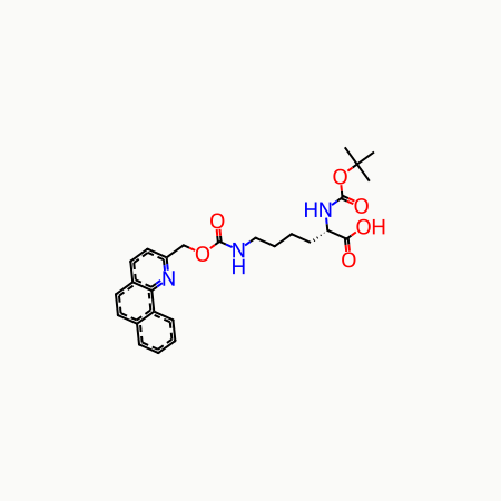 CC(C)(C)OC(=O)N[C@@H](CCCCNC(=O)OCc1ccc2ccc3ccccc3c2n1)C(=O)O